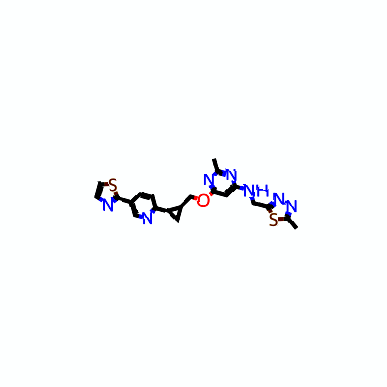 Cc1nc(NCc2nnc(C)s2)cc(OCC2CC2c2ccc(-c3nccs3)cn2)n1